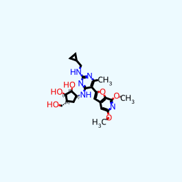 COc1cc2cc(-c3c(C)nc(NCC4CC4)nc3N[C@@H]3C[C@H](CO)[C@@H](O)[C@H]3O)oc2c(OC)n1